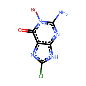 Nc1nc2[nH]c(Cl)nc2c(=O)n1Br